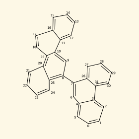 c1ccc2c(c1)cc(-c1cc3c4ccccc4ccc3c3ccccc13)c1ccccc12